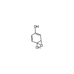 OC1=CC2OC2(O)C=C1